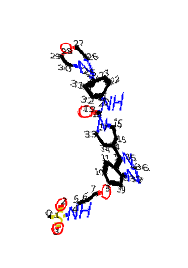 CS(=O)(=O)NCCCOc1ccc2c(C3CCN(C(=O)Nc4ccc(N5CCOCC5)cc4)CC3)ncnc2c1